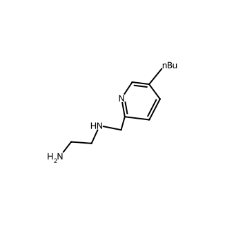 CCCCc1ccc(CNCCN)nc1